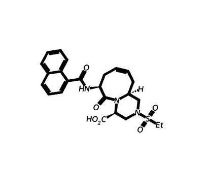 CCS(=O)(=O)N1C[C@@H]2CC=CC[C@H](NC(=O)c3cccc4ccccc34)C(=O)N2[C@H](C(=O)O)C1